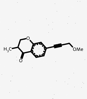 COCC#Cc1ccc2c(c1)OCC(C)C2=O